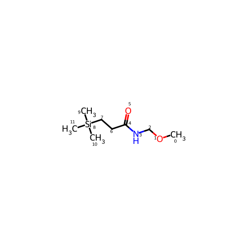 COCNC(=O)CC[Si](C)(C)C